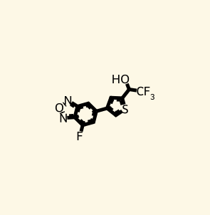 OC(c1cc(-c2cc(F)c3nonc3c2)cs1)C(F)(F)F